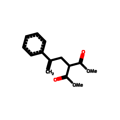 C=C(CC(C(=O)OC)C(=O)OC)c1ccccc1